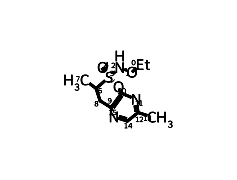 CCONS(=O)(=O)C(C)Cc1cnc(C)cn1